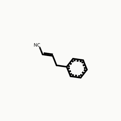 N#CC=CCc1ccccc1